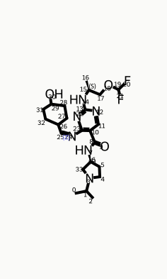 CC(C)N1CC[C@H](NC(=O)c2cnc(N[C@@H](C)COC(F)F)nc2/N=C\C2CCC(O)CC2)C1